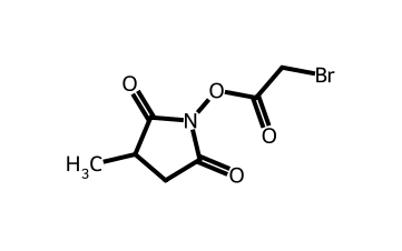 CC1CC(=O)N(OC(=O)CBr)C1=O